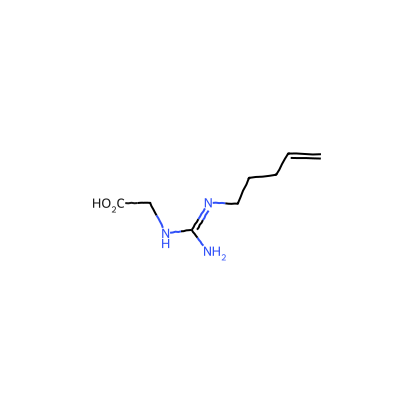 C=CCCCN=C(N)NCC(=O)O